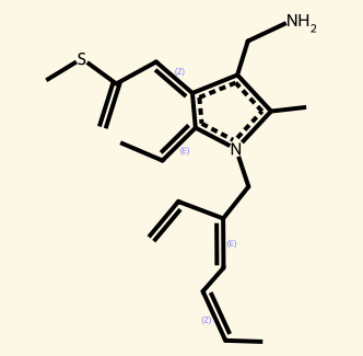 C=C/C(=C\C=C/C)Cn1c(C)c(CN)c(=C/C(=C)SC)/c1=C\C